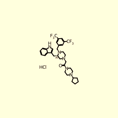 Cl.O=C(CN1CCN(Cc2cc(C(F)(F)F)cc(C(F)(F)F)c2)[C@H](Cc2c[nH]c3ccccc23)C1)N1CCN(C2CCCC2)CC1